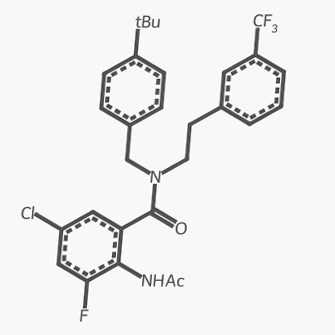 CC(=O)Nc1c(F)cc(Cl)cc1C(=O)N(CCc1cccc(C(F)(F)F)c1)Cc1ccc(C(C)(C)C)cc1